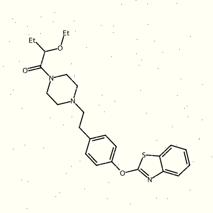 CCOC(CC)C(=O)N1CCN(CCc2ccc(Oc3nc4ccccc4s3)cc2)CC1